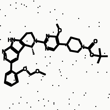 COCOc1ccccc1-c1cc2c3c([nH]c2nn1)CCN(c1ncc(C2CCN(C(=O)OC(C)(C)C)CC2)c(OC)n1)[C@@H]3C